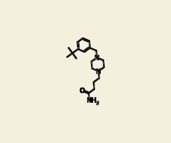 CC(C)(C)c1cccc(CN2CCN(CCCC(N)=O)CC2)c1